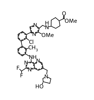 COC(=O)C1CCC(NCc2ncc(-c3cccc(-c4cccc(Nc5nc(C(F)F)nc6cc(CN7CC[C@@H](O)C7)cnc56)c4C)c3Cl)nc2OC)CC1